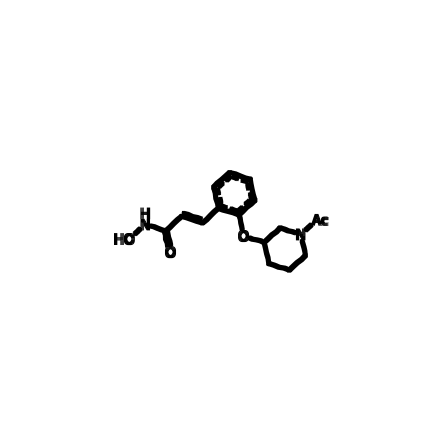 CC(=O)N1CCCC(Oc2ccccc2C=CC(=O)NO)C1